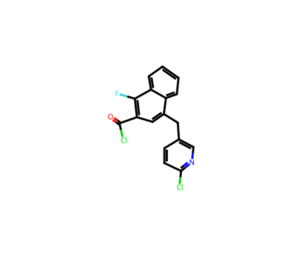 O=C(Cl)c1cc(Cc2ccc(Cl)nc2)c2ccccc2c1F